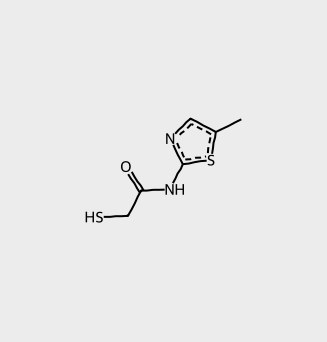 Cc1cnc(NC(=O)CS)s1